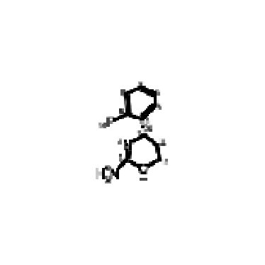 NC1=N[C@H](c2ccccc2F)CCO1